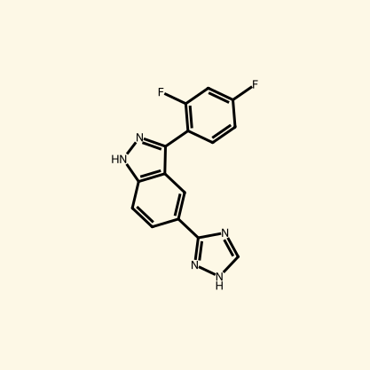 Fc1ccc(-c2n[nH]c3ccc(-c4nc[nH]n4)cc23)c(F)c1